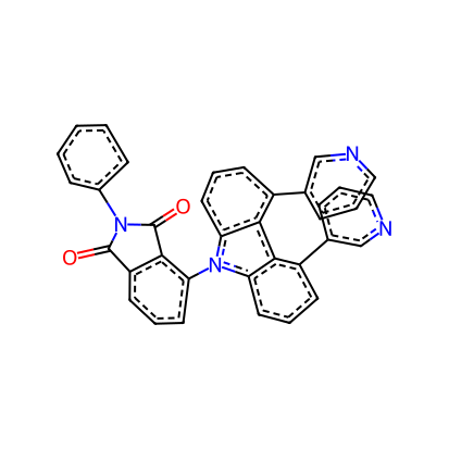 O=C1c2cccc(-n3c4cccc(-c5cccnc5)c4c4c(-c5cccnc5)cccc43)c2C(=O)N1c1ccccc1